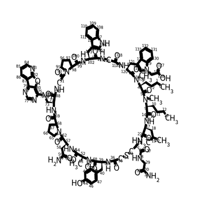 CCCC[C@H]1C(=O)N(C)[C@@H](CCCC)C(=O)N[C@@H](CC(C)C)C(=O)N[C@H](C(=O)NCC(N)=O)CSCC(=O)N[C@@H](Cc2ccc(O)cc2)C(=O)N(C)[C@@H](C)C(=O)N[C@@H](CC(N)=O)C(=O)N2CCCC2C(=O)N[C@@H](CNc2ncnc3c2oc2ncccc23)C(=O)NCC(=O)N2CCCC2C(=O)N[C@@H](Cc2c[nH]c3ccccc23)C(=O)NCC(=O)N[C@@H](Cc2cn(CC(=O)O)c3ccccc23)C(=O)N1C